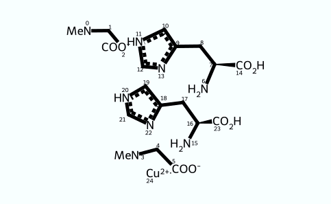 CNCC(=O)[O-].CNCC(=O)[O-].N[C@@H](Cc1c[nH]cn1)C(=O)O.N[C@@H](Cc1c[nH]cn1)C(=O)O.[Cu+2]